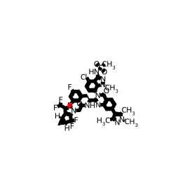 Cc1nn(C)c(C)c1-c1ccc2c(=O)n(C3=CC=C(Cl)C4C(NS(C)(=O)=O)=NN(C)C34)c([C@H](Cc3cc(F)cc(F)c3)NC(=O)Cn3nc(C(F)F)c4c3C(F)(F)[C@@H]3C[C@H]43)nc2c1